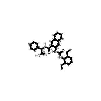 CCc1cccc(CC)c1NC(=O)Nc1cc2ccccc2cc1C(=O)NC(C(=O)O)c1ccccc1